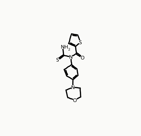 NC(=S)N(C(=O)c1cccs1)c1ccc(N2CCOCC2)cc1